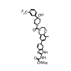 COC(=O)Nc1nc2ccc(-c3cc(C)c4c(c3)CN(C(=O)N3CCC(O)(c5cccc(C(F)(F)F)c5)CC3)CCO4)cc2[nH]1